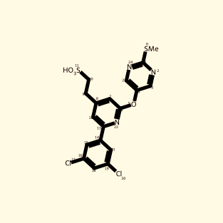 CSc1ncc(Oc2cc(CCS(=O)(=O)O)cc(-c3cc(Cl)cc(Cl)c3)n2)cn1